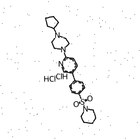 Cl.Cl.O=S(=O)(c1ccc(-c2ccc(N3CCN(C4CCCC4)CC3)nc2)cc1)N1CCCCC1